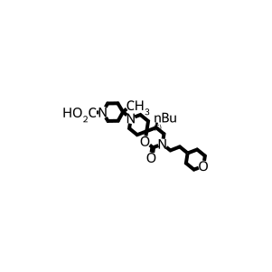 CCCC[C@H]1CN(CCC2CCOCC2)C(=O)OC12CCN(C1(C)CCN(C(=O)O)CC1)CC2